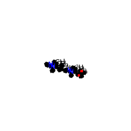 CC1(C)c2cc(-c3cccc4c3-c3ccccc3C4(C)Cc3ccc(-c4cc(-c5ccccc5)nc(-c5cccc6c5-c5ccc(-c7cccc8c7-c7ccccc7C87c8ccccc8-c8ccccc87)cc5C6(C)C)n4)cc3)ccc2-c2c(-c3nc(-c4ccccc4)cc(-c4ccccc4)n3)cccc21